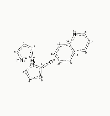 O=c1[nH]cco1.c1cc[nH]c1.c1ccc2ncccc2c1